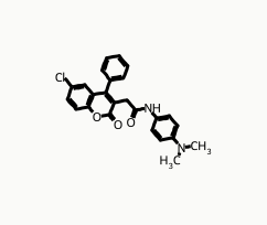 CN(C)c1ccc(NC(=O)Cc2c(-c3ccccc3)c3cc(Cl)ccc3oc2=O)cc1